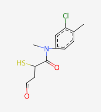 Cc1ccc(N(C)C(=O)C(S)CC=O)cc1Cl